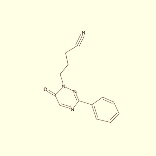 N#CCCCn1nc(-c2ccccc2)ncc1=O